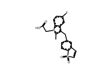 Cc1c(Cc2ccc3c(c2)C=CS3(=O)=O)c2cc(F)ccc2n1CC(=O)O